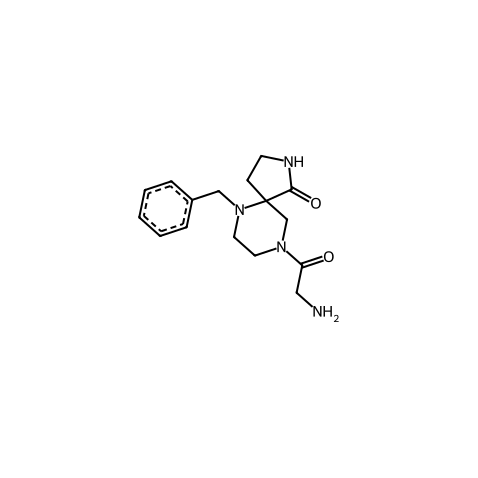 NCC(=O)N1CCN(Cc2ccccc2)C2(CCNC2=O)C1